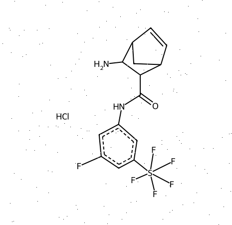 Cl.NC1C2C=CC(C2)C1C(=O)Nc1cc(F)cc(S(F)(F)(F)(F)F)c1